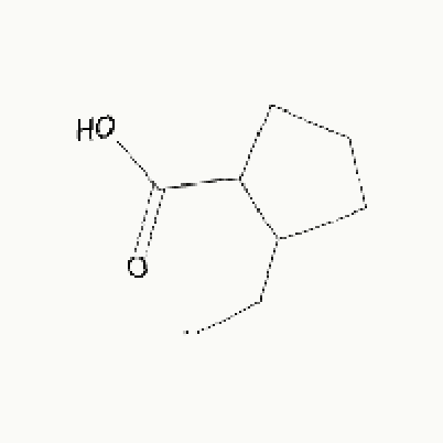 [CH2]CC1CCCC1C(=O)O